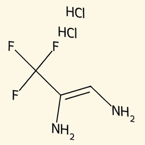 Cl.Cl.NC=C(N)C(F)(F)F